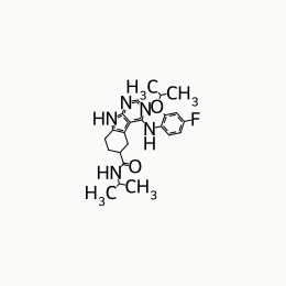 CC(C)NC(=O)C1CCc2[nH]c3ncnc(Nc4ccc(F)cc4OC(C)C)c3c2C1